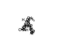 CC(C)(C)OC(=O)N1CC[C@H](NC(=O)c2ccc(-n3ccccc3=O)cc2)[C@H](NC(=O)c2ccc3c(Cl)c[nH]c3c2)C1